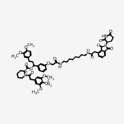 COc1ccc(CCC(OC(=O)[C@@H]2CCCCN2C(=O)Cc2cc(OC)c(OC)c(OC)c2)c2cccc(OCC(=O)NCCCCCCCCNC(=O)Cc3cccc4c3C(=O)N(C3CCC(=O)NC3=O)C4=O)c2)cc1OC